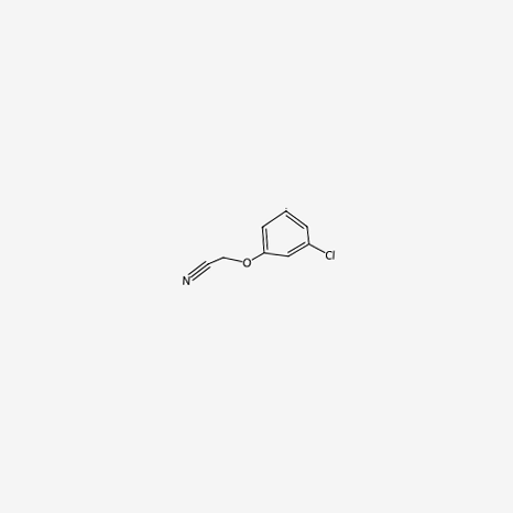 N#CCOc1c[c]cc(Cl)c1